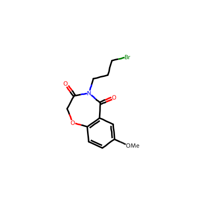 COc1ccc2c(c1)C(=O)N(CCCBr)C(=O)CO2